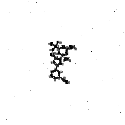 C[C@]1(c2sc(-c3cncc(C#N)c3)cc2Cl)C[C@@H](C(F)(F)F)OC(N)=N1